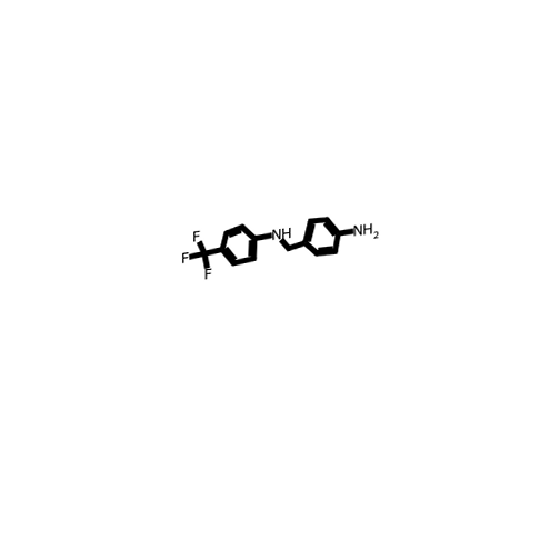 Nc1ccc(CNc2ccc(C(F)(F)F)cc2)cc1